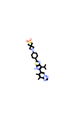 Cc1c(-c2[nH]c3sc(C4CCC(N5CC6(C5)CS(=O)(=O)C6)CC4)nc3c2C(C)C)cn2ncnc2c1C